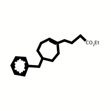 CCOC(=O)CCCC1=CCCC(Cc2ccccc2)CC1